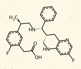 C[C@@H](CN[C@H](c1ccccc1)[C@H]1CNc2cc(F)cnc2C1)c1ccc(F)c(CC(=O)O)c1